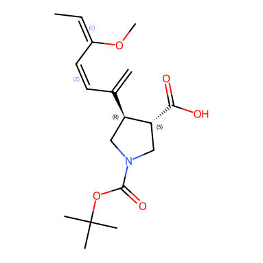 C=C(/C=C\C(=C/C)OC)[C@@H]1CN(C(=O)OC(C)(C)C)C[C@H]1C(=O)O